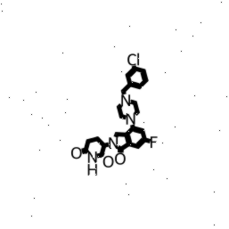 O=C1CCC(N2Cc3c(cc(F)cc3N3CCN(Cc4cccc(Cl)c4)CC3)C2=O)C(=O)N1